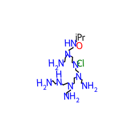 CC(C)C(=O)NCCN(CCN)CCN(Cl)CCN(CCN)CCN(CCN)CCNCCN